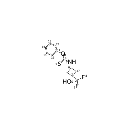 O[C@]1(C(F)F)C[C@H](NC(=S)Oc2ccccc2)C1